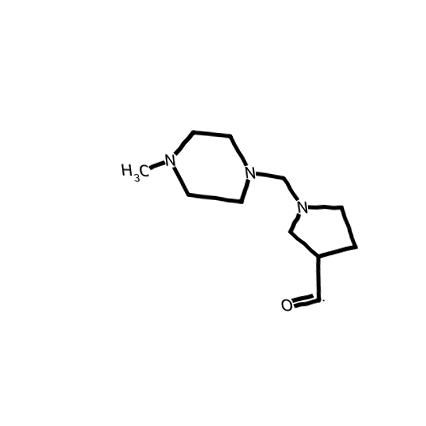 CN1CCN(CN2CCC([C]=O)C2)CC1